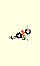 Cc1ccc(S(=O)(=O)C2CCCNC2)c(C)c1